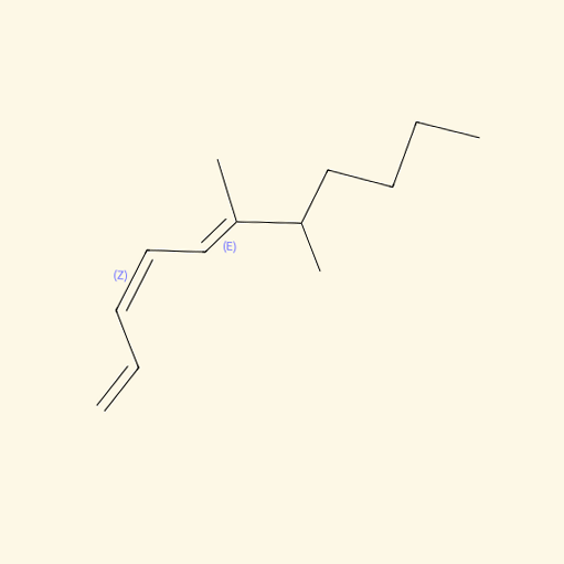 C=C/C=C\C=C(/C)C(C)CCCC